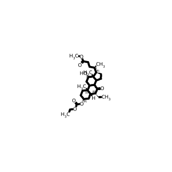 CCOC(=O)O[C@@H]1CC[C@]2(C)C3C[C@H](O)[C@@]4(C)C(CC[C@@H]4[C@H](C)CCC(=O)OC)C3C(=O)[C@H](CC)[C@@H]2C1